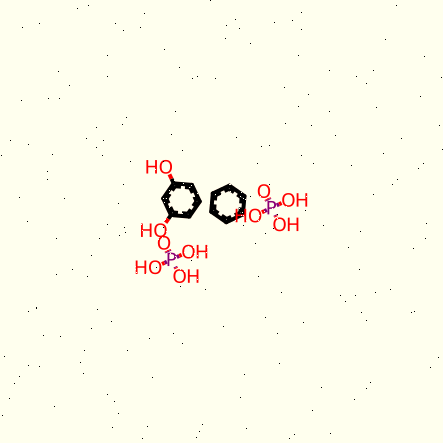 O=P(O)(O)O.O=P(O)(O)O.Oc1cccc(O)c1.c1ccccc1